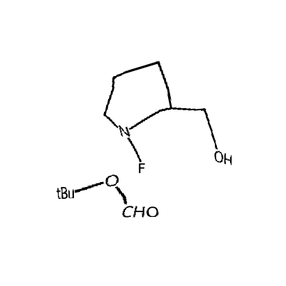 CC(C)(C)OC=O.OCC1CCCN1F